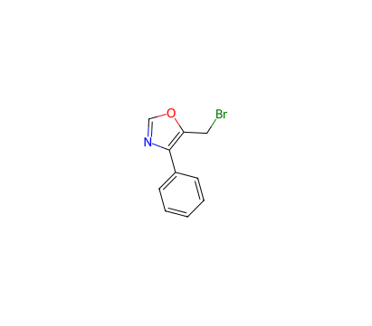 BrCc1ocnc1-c1ccccc1